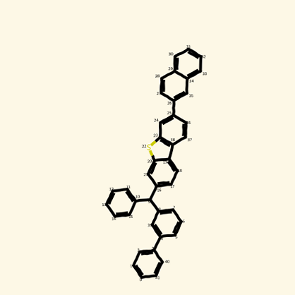 c1ccc(-c2cccc(C(c3ccccc3)c3ccc4c(c3)sc3cc(-c5ccc6ccccc6c5)ccc34)c2)cc1